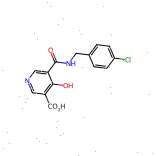 O=C(O)c1cncc(C(=O)NCc2ccc(Cl)cc2)c1O